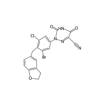 N#Cc1nn(-c2cc(Cl)c(Cc3ccc4c(c3)CCO4)c(Br)c2)c(=O)[nH]c1=O